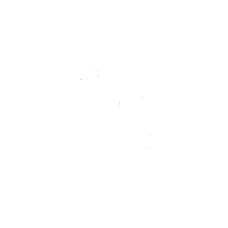 FC(F)(Br)C(F)(F)C(F)(F)C(F)(F)C(F)(F)OC(F)(F)C(F)(F)C(F)(F)C(F)(F)C(F)(F)Br